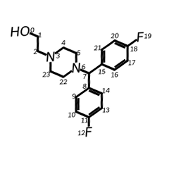 OCCN1CCN(C(c2ccc(F)cc2)c2ccc(F)cc2)CC1